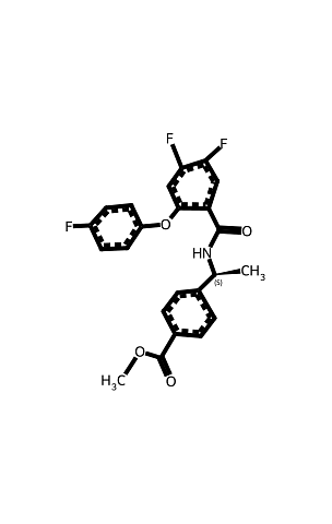 COC(=O)c1ccc([C@H](C)NC(=O)c2cc(F)c(F)cc2Oc2ccc(F)cc2)cc1